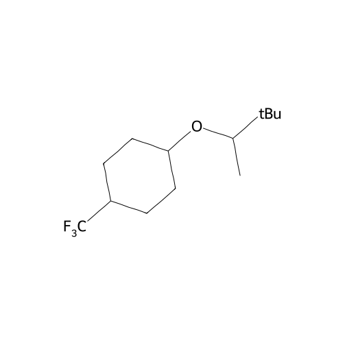 CC(OC1CCC(C(F)(F)F)CC1)C(C)(C)C